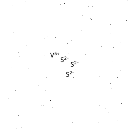 [S-2].[S-2].[S-2].[V+5]